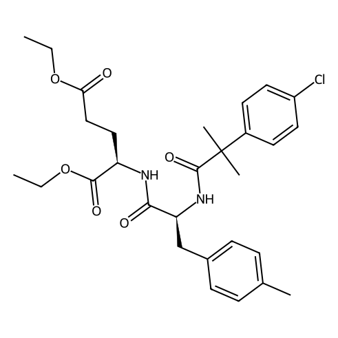 CCOC(=O)CC[C@@H](NC(=O)[C@H](Cc1ccc(C)cc1)NC(=O)C(C)(C)c1ccc(Cl)cc1)C(=O)OCC